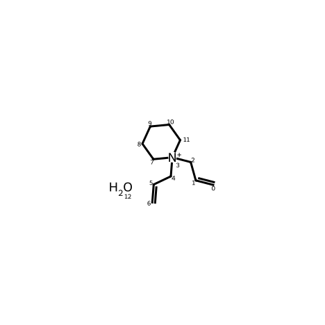 C=CC[N+]1(CC=C)CCCCC1.O